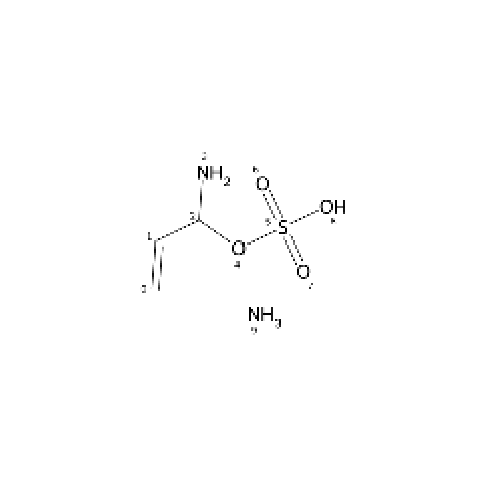 C=CC(N)OS(=O)(=O)O.N